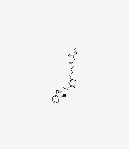 CCOC(=O)CNCCCSc1ccnc(CSc2nc3ccccc3[nH]2)c1C